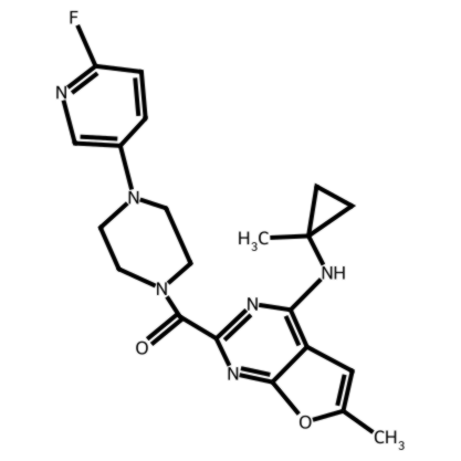 Cc1cc2c(NC3(C)CC3)nc(C(=O)N3CCN(c4ccc(F)nc4)CC3)nc2o1